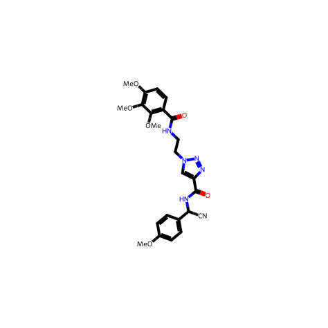 COc1ccc(C(C#N)NC(=O)c2cn(CCNC(=O)c3ccc(OC)c(OC)c3OC)nn2)cc1